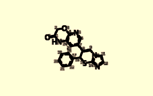 O=C1COc2ncc(C3=Cn4ccnc4SC3c3ccccc3)cc2N1